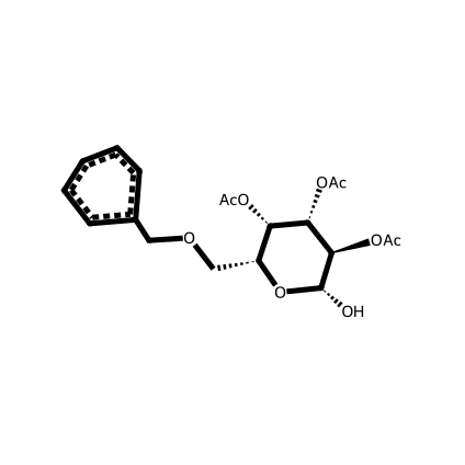 CC(=O)O[C@@H]1[C@@H](OC(C)=O)[C@H](O)O[C@H](COCc2ccccc2)[C@@H]1OC(C)=O